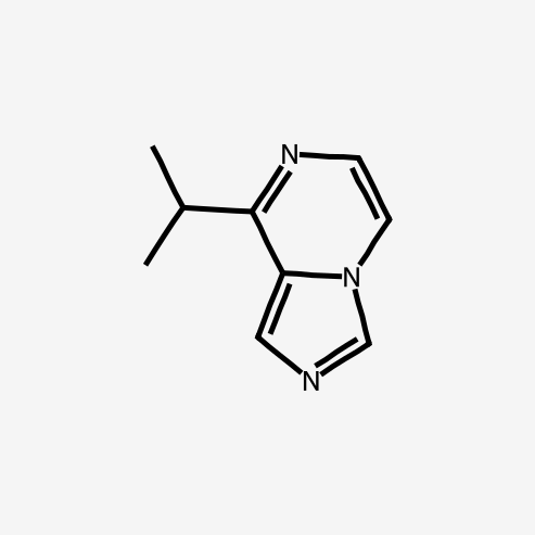 CC(C)c1nccn2cncc12